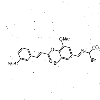 COc1cccc(/C=C/C(=O)Oc2c(Br)cc(/C=N/C(C(=O)O)C(C)C)cc2OC)c1